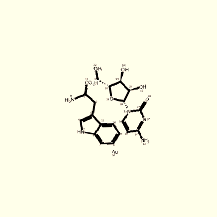 NC(Cc1c[nH]c2ccccc12)C(=O)O.Nc1ccn([C@@H]2O[C@H](CO)[C@@H](O)[C@H]2O)c(=O)n1.[Au]